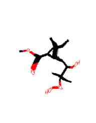 COC(=O)C1C(C(O)C(C)(C)OO)C1(C)C